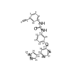 C#Cc1cccc(NC(=O)Nc2cccc(Oc3cc(-c4cnn(C)c4)ncn3)c2)c1